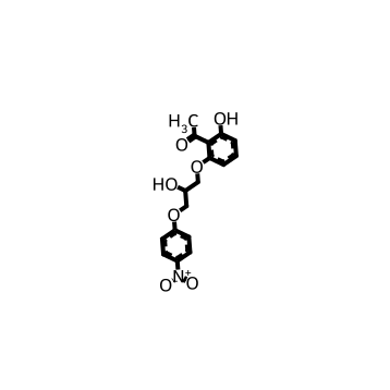 CC(=O)c1c(O)cccc1OCC(O)COc1ccc([N+](=O)[O-])cc1